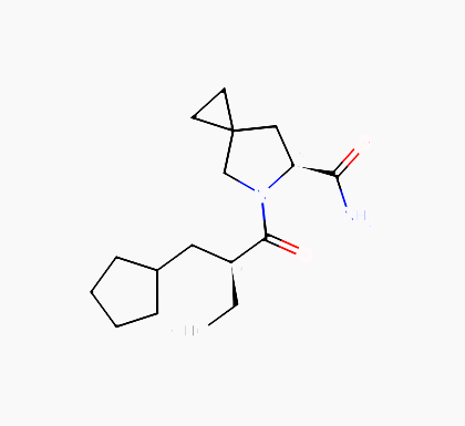 NC(=O)[C@@H]1CC2(CC2)CN1C(=O)[C@@H](CC=O)CC1CCCC1